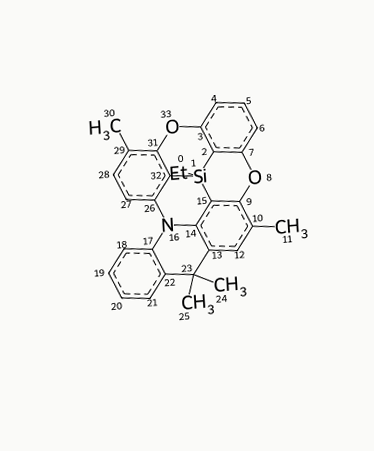 CC[Si]12c3c4cccc3Oc3c(C)cc5c(c31)N(c1ccccc1C5(C)C)c1ccc(C)c(c12)O4